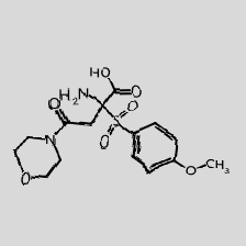 COc1ccc(S(=O)(=O)C(N)(CC(=O)N2CCOCC2)C(=O)O)cc1